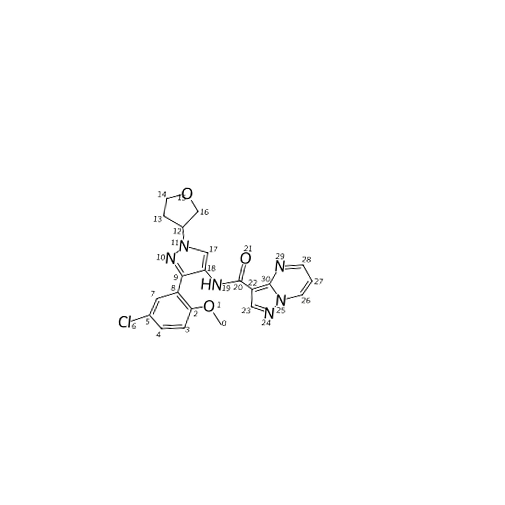 COc1ccc(Cl)cc1-c1nn(C2CCOC2)cc1NC(=O)c1cnn2cccnc12